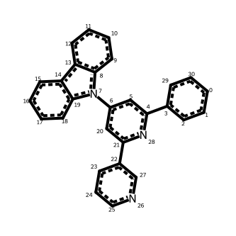 c1ccc(-c2cc(-n3c4ccccc4c4ccccc43)cc(-c3cccnc3)n2)cc1